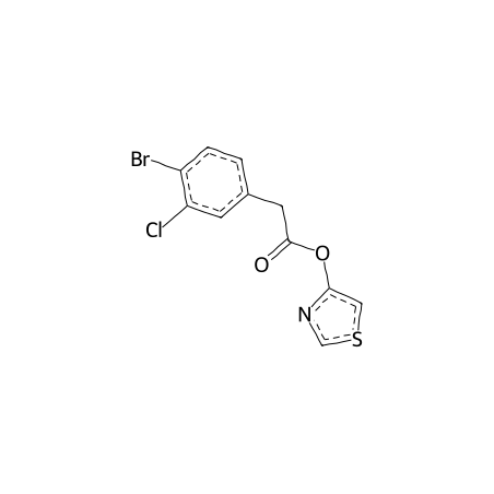 O=C(Cc1ccc(Br)c(Cl)c1)Oc1cscn1